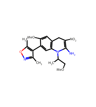 COCC(C)N1C(N)=C([N+](=O)[O-])Cc2cc(OC)c(-c3c(C)noc3C)cc21